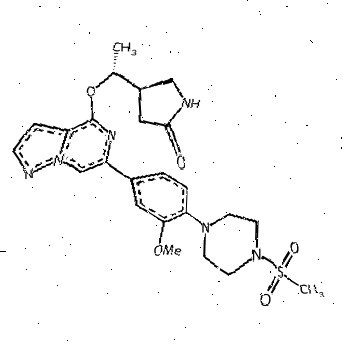 COc1cc(-c2cn3nccc3c(O[C@H](C)[C@H]3CNC(=O)C3)n2)ccc1N1CCN(S(C)(=O)=O)CC1